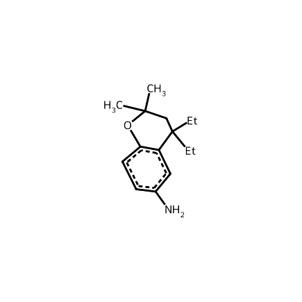 CCC1(CC)CC(C)(C)Oc2ccc(N)cc21